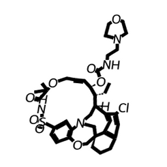 CC[C@H]1[C@@H](OC(=O)NCCN2CCOCC2)/C=C/COC(C)(C)C(=O)NS(=O)(=O)c2ccc3c(c2)N2C[C@@H]1c1cc4c(cc1Cl)CCC[C@@]4(CO3)C2